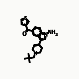 CC(C)(C)CN1CC=C(c2cn(N)c3ccc(C(=O)c4ccsc4)cc23)CC1